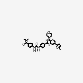 Cc1ccc(-c2cnc3c(N4CCOCC4)nc(-c4ccc(NC(=O)Nc5ccc(C(=O)N(C)C)cc5)cc4)nc3c2)o1